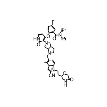 Cc1c(CN2CCC3CN(c4c(Oc5ccc(F)cc5C(=O)N(C(C)C)C(C)C)cc[nH]c4=O)CC32)ccc2c1cc(C#N)n2CCC1CNC(=O)CO1